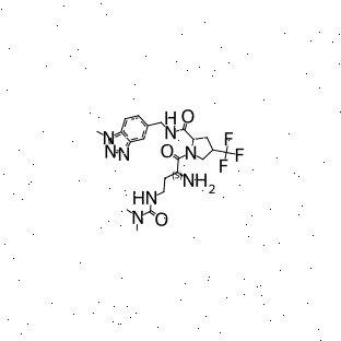 CN(C)C(=O)NCC[C@H](N)C(=O)N1CC(C(F)(F)F)CC1C(=O)NCc1ccc2c(c1)nnn2C